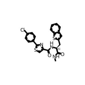 CNC(=O)[C@H](Cc1cc2ccccc2s1)NC(=O)c1csc(-c2ccc(Cl)cc2)n1